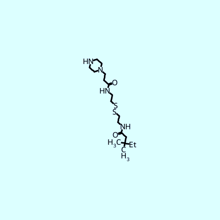 CCC(C)(C)CC(=O)NCCSSCCNC(=O)CCN1CCNCC1